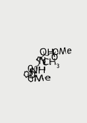 COC(=O)CCC(O)c1ccc(CCNS(=O)(=O)c2ccccc2OC)n1C